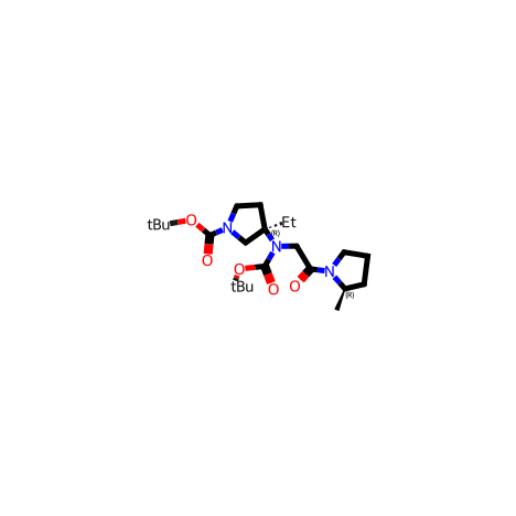 CC[C@@]1(N(CC(=O)N2CCC[C@H]2C)C(=O)OC(C)(C)C)CCN(C(=O)OC(C)(C)C)C1